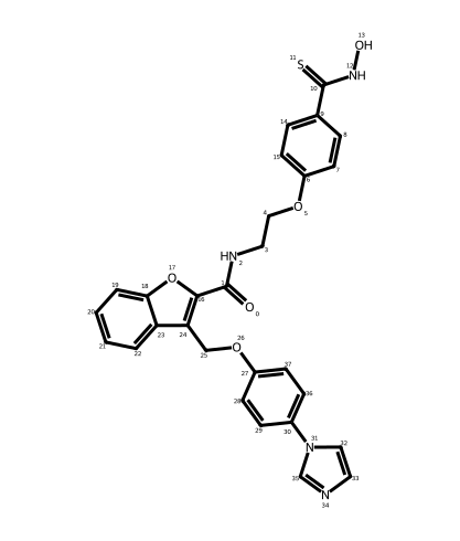 O=C(NCCOc1ccc(C(=S)NO)cc1)c1oc2ccccc2c1COc1ccc(-n2ccnc2)cc1